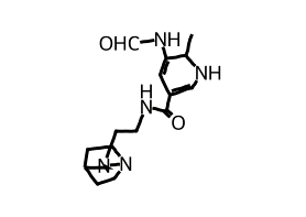 CC1NC=C(C(=O)NCCN2CC3CCN2CC3)C=C1NC=O